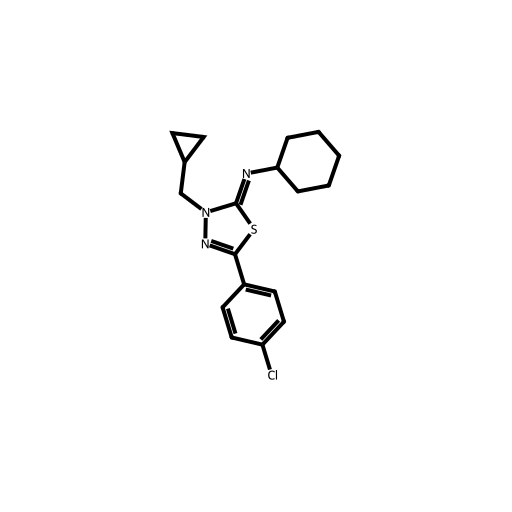 Clc1ccc(-c2nn(CC3CC3)c(=NC3CCCCC3)s2)cc1